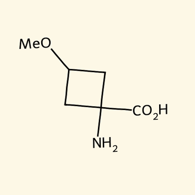 COC1CC(N)(C(=O)O)C1